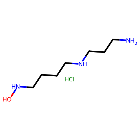 Cl.NCCCNCCCCNO